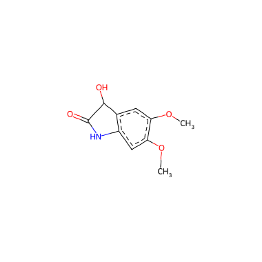 COc1cc2c(cc1OC)C(O)C(=O)N2